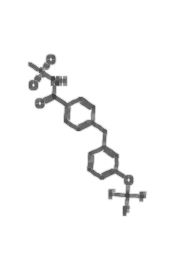 CS(=O)(=O)NC(=O)c1ccc(Cc2cccc(OC(F)(F)F)c2)cc1